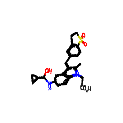 Cc1c(Cc2ccc3c(c2)CCS3(=O)=O)c2cc(NC(O)C3CC3)ccc2n1CC(=O)O